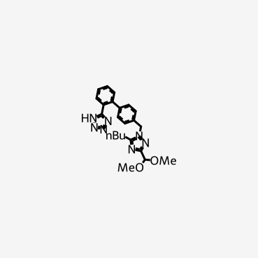 CCCCc1nc(C(OC)OC)nn1Cc1ccc(-c2ccccc2-c2nnn[nH]2)cc1